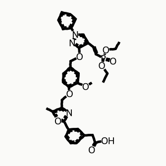 CCOP(=O)(/C=C/c1cn(-c2ccccc2)nc1OCc1ccc(OCc2nc(-c3cccc(CC(=O)O)c3)oc2C)c(OC)c1)OCC